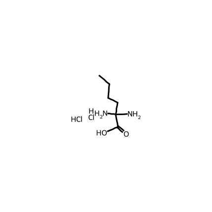 CCCCC(N)(N)C(=O)O.Cl.Cl